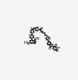 CCOc1cc(-c2ccc(N3CCC(C)(CN4CCN(C(=O)CCCCCCN5CCN(c6ccc7c(c6)CN(C6CCC(=O)NC6=O)C7=O)CC5)CC4)CC3)nc2)c2c(C#N)cnn2c1